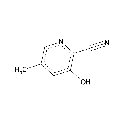 Cc1cnc(C#N)c(O)c1